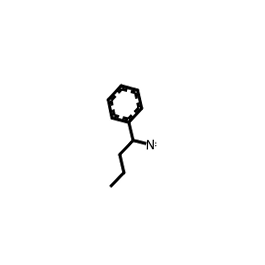 CCCC([N])c1ccccc1